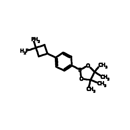 CC1(C)OB(c2ccc(C3CC(P)(P)C3)cc2)OC1(C)C